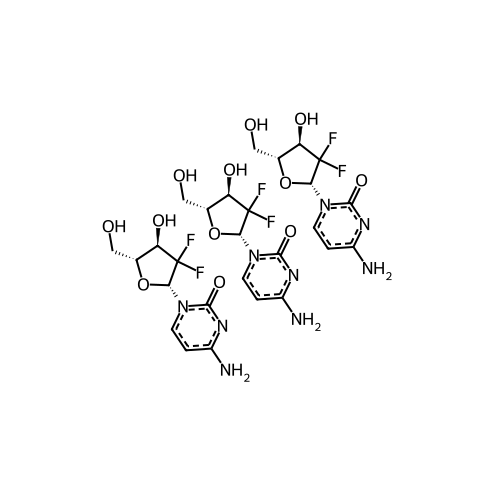 Nc1ccn([C@@H]2O[C@H](CO)[C@@H](O)C2(F)F)c(=O)n1.Nc1ccn([C@@H]2O[C@H](CO)[C@@H](O)C2(F)F)c(=O)n1.Nc1ccn([C@@H]2O[C@H](CO)[C@@H](O)C2(F)F)c(=O)n1